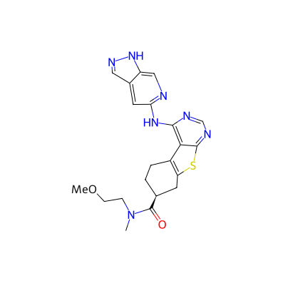 COCCN(C)C(=O)[C@H]1CCc2c(sc3ncnc(Nc4cc5cn[nH]c5cn4)c23)C1